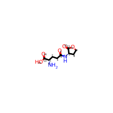 N[C@@H](CCC(=O)N[C@H]1CCOC1=O)C(=O)O